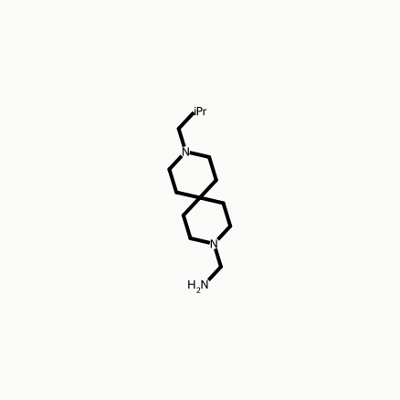 CC(C)CN1CCC2(CCN(CN)CC2)CC1